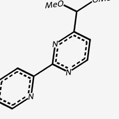 COC(OC)c1ccnc(-c2ccccn2)n1